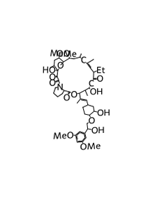 CCC1/C=C(\C)CC(C)CC(OC)C2OC(O)(C(=O)C(=O)N3CCCCC3C(=O)OC(C(C)=CC3CCC(OCC(O)c4cc(OC)cc(OC)c4)C(O)C3)C(C)C(O)CC1=O)C(C)CC2OC